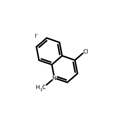 C[n+]1ccc(Cl)c2ccccc21.[I-]